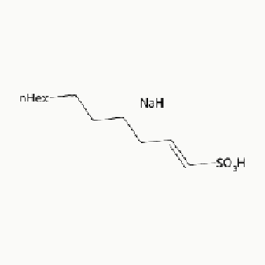 CCCCCCCCCC/C=C/S(=O)(=O)O.[NaH]